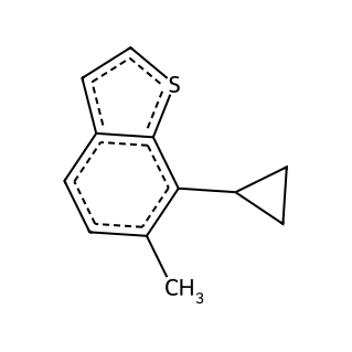 Cc1ccc2ccsc2c1C1CC1